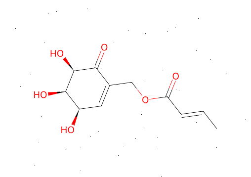 C/C=C/C(=O)OCC1=C[C@@H](O)[C@@H](O)[C@@H](O)C1=O